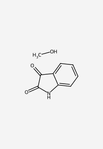 CO.O=C1Nc2ccccc2C1=O